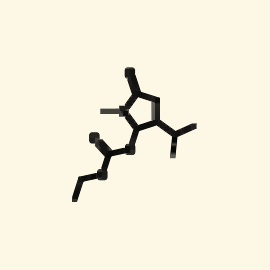 CCOC(=O)OC1C(C(C)C)=CC(=O)N1C